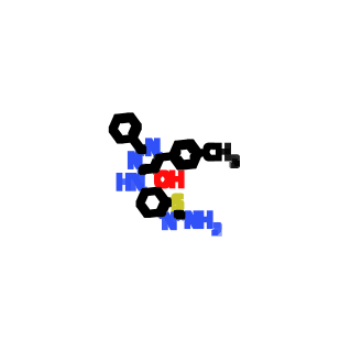 Cc1ccc(-c2nc(C3=CC=CCC3)nc(NC3CCc4nc(N)sc4C3)c2O)cc1